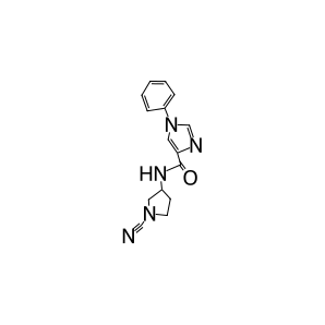 N#CN1CCC(NC(=O)c2cn(-c3ccccc3)cn2)C1